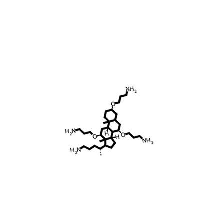 C[C@H](CCCN)C1CC[C@H]2C3[C@H](OCCCN)CC4C[C@H](OCCCN)CCC4(C)[C@H]3C[C@H](OCCCN)C12C